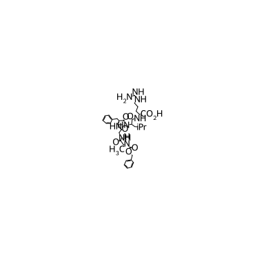 CC(C)CC(NC(=O)C(Cc1ccccc1)NC(=O)CNC(=O)C(C)NC(=O)OCc1ccccc1)C(=O)NC(CCCNC(=N)N)C(=O)O